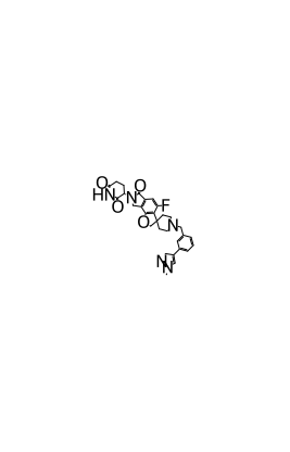 Cn1cc(-c2cccc(CN3CCC4(CC3)COc3c5c(cc(F)c34)C(=O)N([C@H]3CCC(=O)NC3=O)C5)c2)cn1